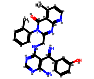 Cc1ccccc1-n1c(CNc2ncnc(N)c2C(=N)c2cccc(O)c2)nc2nccc(C)c2c1=O